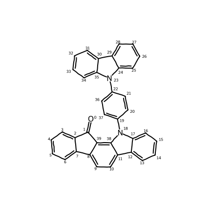 O=C1c2ccccc2-c2ccc3c4ccccc4n(-c4ccc(-n5c6ccccc6c6ccccc65)cc4)c3c21